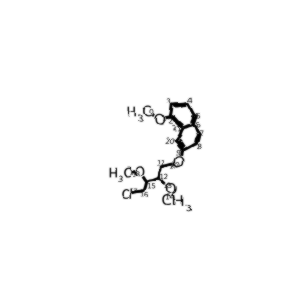 COc1cccc2ccc(OCC(OC)C(CCl)OC)cc12